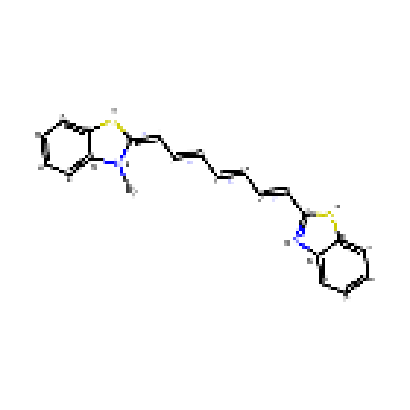 CCN1\C(=C/C=C/C=C/C=C/c2nc3ccccc3s2)Sc2ccccc21